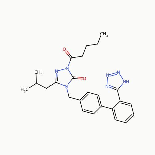 CCCCC(=O)n1nc(CC(C)C)n(Cc2ccc(-c3ccccc3-c3nnn[nH]3)cc2)c1=O